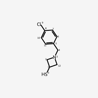 SC1CN(Cc2ccc(Cl)cc2)C1